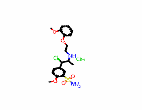 COc1ccccc1OCCNC(C)C(Cl)c1ccc(OC)c(S(N)(=O)=O)c1.Cl